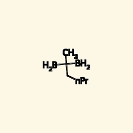 BC(B)(C)CCCC